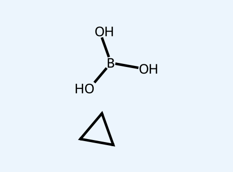 C1CC1.OB(O)O